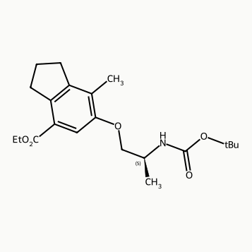 CCOC(=O)c1cc(OC[C@H](C)NC(=O)OC(C)(C)C)c(C)c2c1CCC2